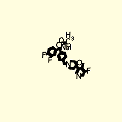 CC(=O)NC(C)(c1ccc(CN2CCC3(CC2)OCc2c(F)cncc23)cc1)c1ccc(F)c(F)c1